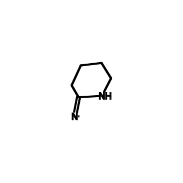 [N]=C1CCCCN1